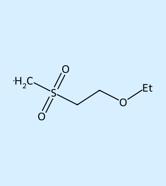 [CH2]S(=O)(=O)CCOCC